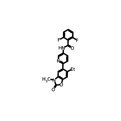 CCc1cc2oc(=O)n(C)c2cc1-c1ccc(NC(=O)c2c(F)cccc2F)cn1